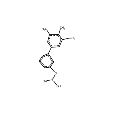 Cc1cc(-c2cccc(OB(O)O)c2)cc(C)c1C